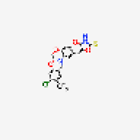 O=C1NC(=S)O/C1=C/c1ccc2c(c1)N(Cc1ccc(Cl)c(C(F)(F)F)c1)C(=O)CO2